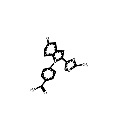 Cc1nc(-c2cc3cc(Cl)ccc3n2-c2ccc(C(N)=O)cc2)no1